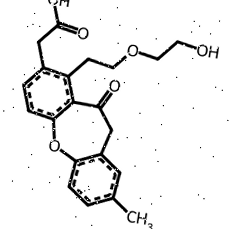 Cc1ccc2c(c1)CC(=O)c1c(ccc(CC(=O)O)c1CCOCCO)O2